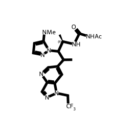 CNc1ccnn1C(C(C)c1cnc2cnn(CC(F)(F)F)c2c1)[C@@H](C)NC(=O)NC(C)=O